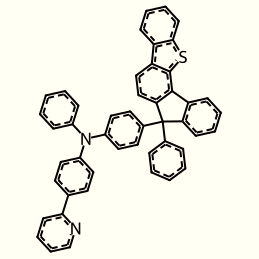 c1ccc(N(c2ccc(-c3ccccn3)cc2)c2ccc(C3(c4ccccc4)c4ccccc4-c4c3ccc3c4sc4ccccc43)cc2)cc1